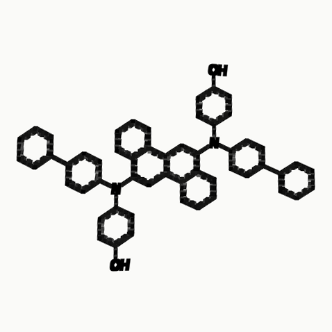 Oc1ccc(N(c2ccc(-c3ccccc3)cc2)c2cc3c4ccccc4c(N(c4ccc(O)cc4)c4ccc(-c5ccccc5)cc4)cc3c3ccccc23)cc1